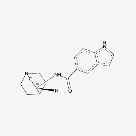 O=C(N[C@H]1CN2CCC1CC2)c1ccc2[nH]ccc2c1